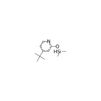 C[SiH](C)Oc1cc(C(C)(C)C)ccn1